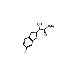 COC(=O)C(O)C1Cc2ccc(F)cc2C1